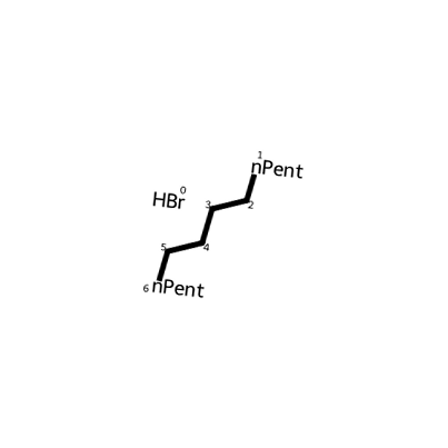 Br.CCCCCCCCCCCCCC